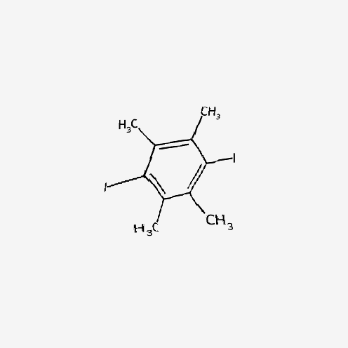 Cc1c(C)c(I)c(C)c(C)c1I